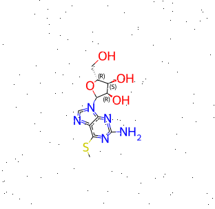 CSc1nc(N)nc2c1ncn2C1O[C@H](CO)[C@@H](O)[C@H]1O